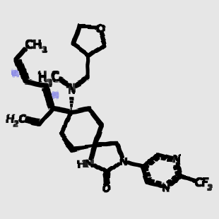 C=C/C(=C\C=C/C)[C@]1(N(C)CC2CCOC2)CC[C@@]2(CC1)CN(c1cnc(C(F)(F)F)nc1)C(=O)N2